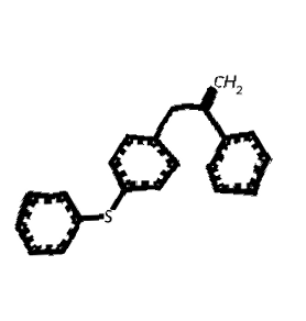 C=C(Cc1ccc(Sc2ccccc2)cc1)c1ccccc1